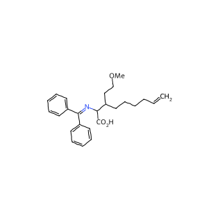 C=CCCCCC(CCOC)C(N=C(c1ccccc1)c1ccccc1)C(=O)O